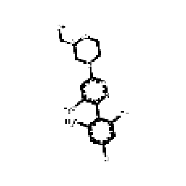 Cc1cc(N2CCO[C@H](CO)C2)nnc1-c1c(C)cc(Cl)cc1O